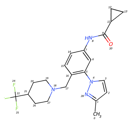 Cc1ccn(-c2cc(NC(=O)C3CC3)ccc2CN2CCC(C(F)(F)F)CC2)n1